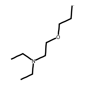 [CH2]CCOCCN(CC)CC